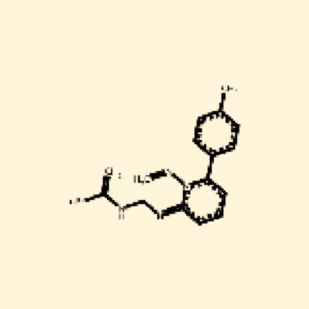 C=Nn1c(-c2ccc(C)cc2)ccc/c1=N/CNC(=C)CCC